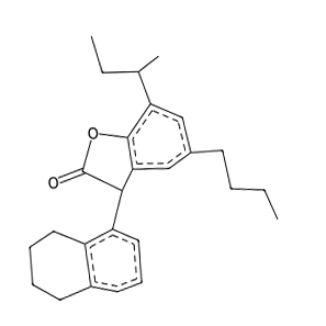 CCCCc1cc(C(C)CC)c2c(c1)C(c1cccc3c1CCCC3)C(=O)O2